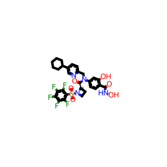 O=C(NO)c1ccc(N(Cc2ccc(C3CCCCC3)cn2)C(=O)[C@H]2CCN2S(=O)(=O)c2c(F)c(F)c(F)c(F)c2F)cc1O